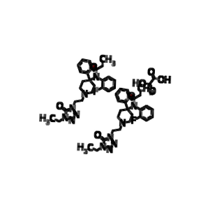 CCC(=O)N(c1ccccc1F)C1(c2ccccn2)CCN(CCn2nnn(CC)c2=O)CC1.CCC(=O)N(c1ccccc1F)C1(c2ccccn2)CCN(CCn2nnn(CC)c2=O)CC1.O=C(O)C(=O)O